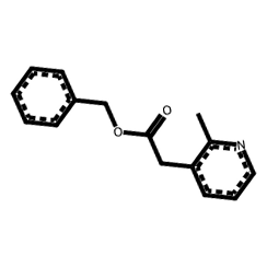 Cc1ncccc1CC(=O)OCc1ccccc1